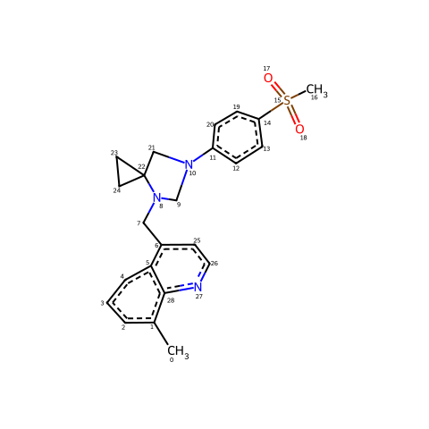 Cc1cccc2c(CN3CN(c4ccc(S(C)(=O)=O)cc4)CC34CC4)ccnc12